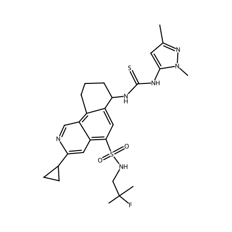 Cc1cc(NC(=S)NC2CCCc3c2cc(S(=O)(=O)NCC(C)(C)F)c2cc(C4CC4)ncc32)n(C)n1